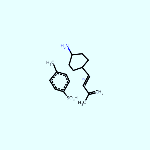 C=C(C)/C=C/C1CCC(N)CC1.Cc1ccc(S(=O)(=O)O)cc1